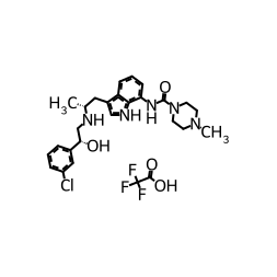 C[C@H](Cc1c[nH]c2c(NC(=O)N3CCN(C)CC3)cccc12)NC[C@H](O)c1cccc(Cl)c1.O=C(O)C(F)(F)F